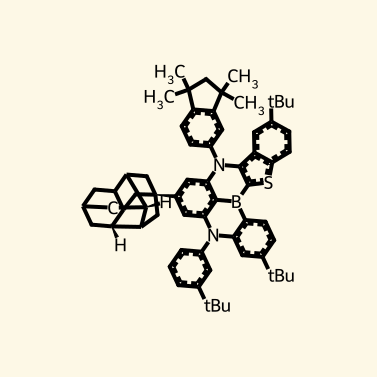 CC(C)(C)c1cccc(N2c3cc(C(C)(C)C)ccc3B3c4sc5ccc(C(C)(C)C)cc5c4N(c4ccc5c(c4)C(C)(C)CC5(C)C)c4cc([C@]56CC7C8CC9C[C@H]7C(C5)[C@H](C9)C8C6)cc2c43)c1